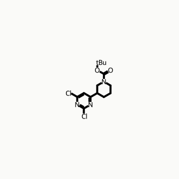 CC(C)(C)OC(=O)N1CCCC(c2cc(Cl)nc(Cl)n2)C1